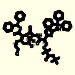 CC(C)(C)OC(=O)C(C)(C)O/N=C(\C(=O)NC1C(=O)N2C(C(=O)OC(c3ccccc3)c3ccccc3)=C(/C=C\CCl)C[S+]([O-])[C@@H]12)c1csc(NC(c2ccccc2)(c2ccccc2)c2ccccc2)n1